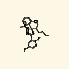 CCCCC1COc2ccccc2C12SC(c1cc(F)ccc1F)=NN2C(C)=O